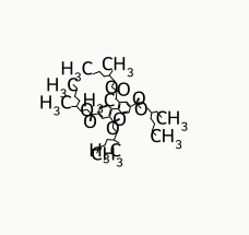 CCCCC(CC)COC(=O)c1ccc(-c2ccc(C(=O)OCC(CC)CCCC)cc2C(C)C(=O)OCC(CC)CCCC)c(C(=O)OCC(CC)CCCC)c1